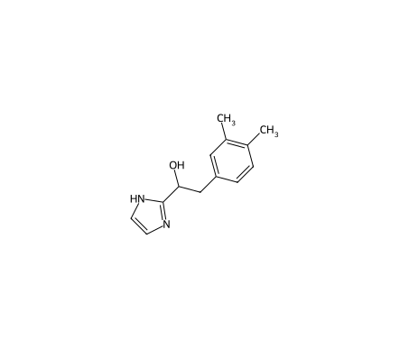 Cc1ccc(CC(O)c2ncc[nH]2)cc1C